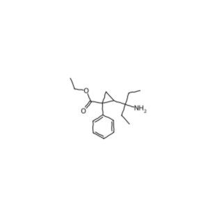 CCOC(=O)C1(c2ccccc2)CC1C(N)(CC)CC